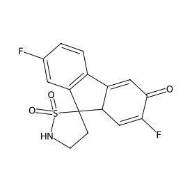 O=C1C=C2c3ccc(F)cc3C3(CCNS3(=O)=O)C2C=C1F